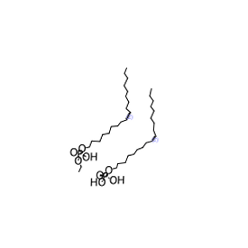 CCCCCCCC/C=C\CCCCCCCCOP(=O)(O)O.CCCCCCCC/C=C\CCCCCCCCOP(=O)(O)OCC